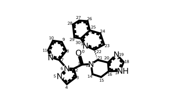 O=C(c1ccnn1-c1ccccn1)N1CCc2[nH]cnc2[C@H]1c1ccc2ccccc2n1